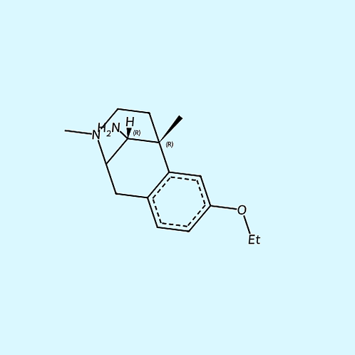 CCOc1ccc2c(c1)[C@@]1(C)CCN(C)C(C2)[C@@H]1N